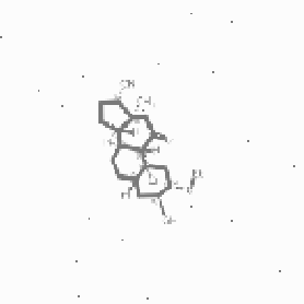 CCO[C@H]1C[C@@]2(C)[C@@H](CC[C@H]3[C@@H]4CC[C@H](C#N)[C@@]4(C)CC(=O)[C@@H]32)C[C@@H]1O